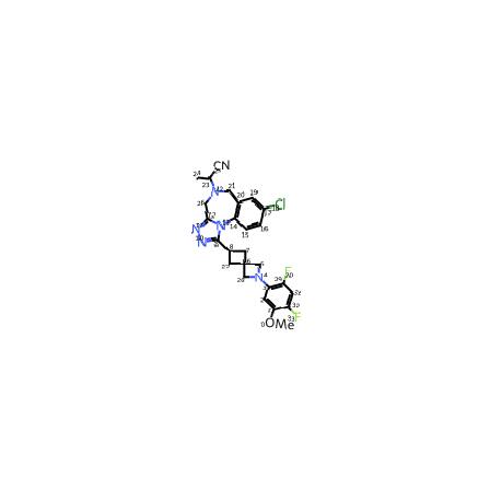 COc1cc(N2CC3(CC(c4nnc5n4-c4ccc(Cl)cc4CN(C(C)C#N)C5)C3)C2)c(F)cc1F